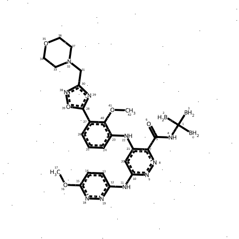 BC(B)(B)NC(=O)c1nnc(Nc2ccc(OC)nn2)cc1Nc1cccc(-c2nc(CN3CCOCC3)no2)c1OC